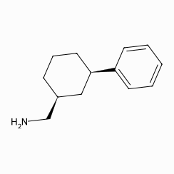 NC[C@H]1CCC[C@@H](c2ccccc2)C1